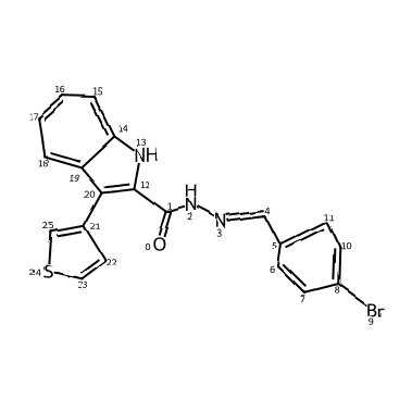 O=C(NN=Cc1ccc(Br)cc1)c1[nH]c2ccccc2c1-c1ccsc1